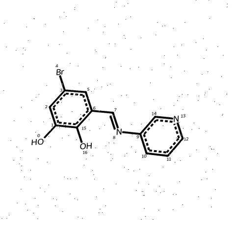 Oc1cc(Br)cc(C=Nc2cccnc2)c1O